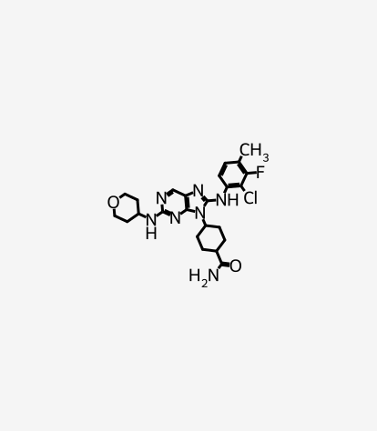 Cc1ccc(Nc2nc3cnc(NC4CCOCC4)nc3n2C2CCC(C(N)=O)CC2)c(Cl)c1F